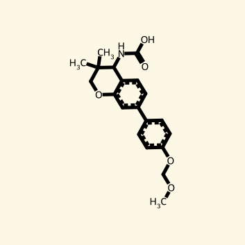 COCOc1ccc(-c2ccc3c(c2)OCC(C)(C)C3NC(=O)O)cc1